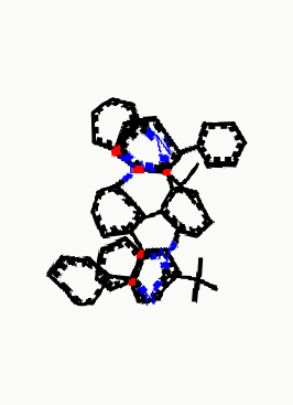 CC(C)(C)c1nc2ccccc2n1-c1cccc(-c2ccccc2-c2ccccc2)c1-c1c(-c2ccccc2-c2ccccc2)cccc1-n1c(C(C)(C)C)nc2ccccc21